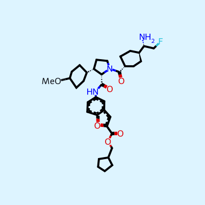 COC1CCC([C@@H]2CCN(C(=O)[C@H]3CC[C@H]([C@H](N)CF)CC3)[C@@H]2C(=O)Nc2ccc3oc(C(=O)OCC4CCCC4)cc3c2)CC1